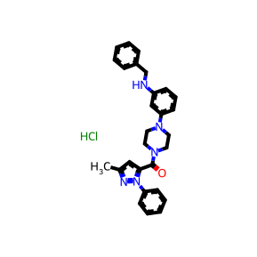 Cc1cc(C(=O)N2CCN(c3cccc(NCc4ccccc4)c3)CC2)n(-c2ccccc2)n1.Cl